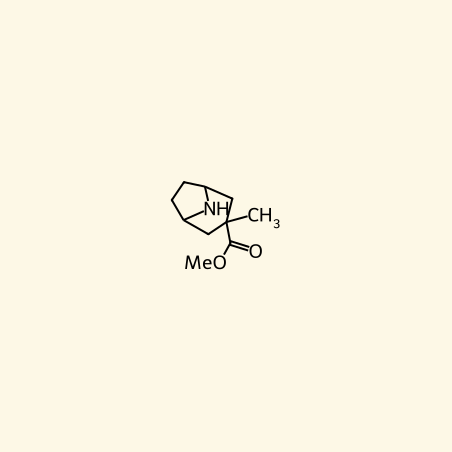 COC(=O)C1(C)CC2CCC(C1)N2